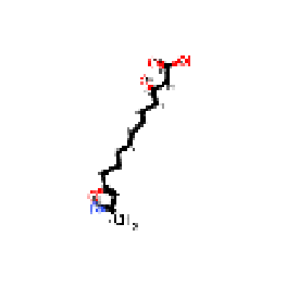 Cc1cc(CCCCCCCCC(=O)CC(=O)O)on1